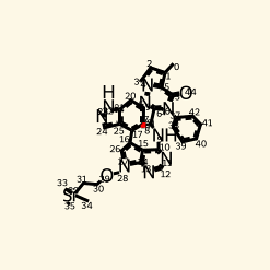 Cc1ccn2nc([C@H](C)Nc3ncnc4c3c(-c3cccc5[nH]ncc35)cn4COCC[Si](C)(C)C)n(-c3ccccc3)c(=O)c12